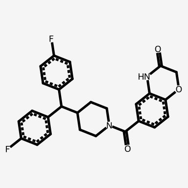 O=C1COc2ccc(C(=O)N3CCC(C(c4ccc(F)cc4)c4ccc(F)cc4)CC3)cc2N1